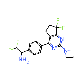 NC(c1ccc(-c2nc(N3CCC3)nc3c2CCC3(F)F)cc1)C(F)F